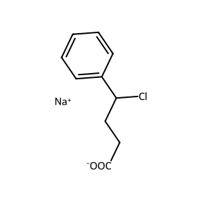 O=C([O-])CCC(Cl)c1ccccc1.[Na+]